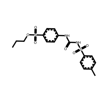 CCCOS(=O)(=O)c1ccc(NC(=O)NS(=O)(=O)c2ccc(C)cc2)cc1